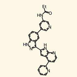 CCC(=O)Nc1cncc(-c2ccc3[nH]nc(-c4cc5c(-c6ccccn6)ccnc5[nH]4)c3c2)c1